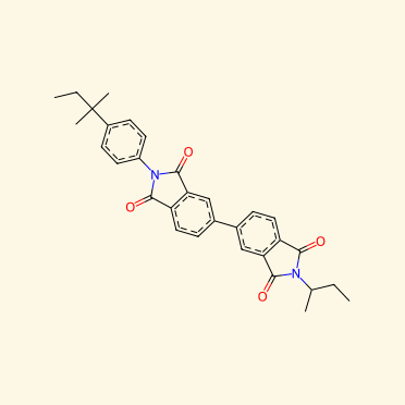 CCC(C)N1C(=O)c2ccc(-c3ccc4c(c3)C(=O)N(c3ccc(C(C)(C)CC)cc3)C4=O)cc2C1=O